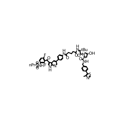 CCCS(=O)(=O)Nc1ccc(F)c(C(=O)c2c[nH]c3ncc(-c4ccc(NC(=O)CCCC(=O)N[C@H](C(=O)N5C[C@H](O)C[C@H]5C(=O)NCc5ccc(-c6scnc6C)cc5)C(C)(C)C)cc4)cc23)c1F